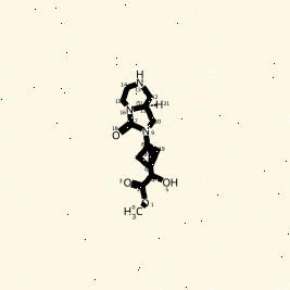 COC(=O)C(O)C12CC(N3C[C@@H]4CNCCN4C3=O)(C1)C2